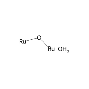 O.[Ru][O][Ru]